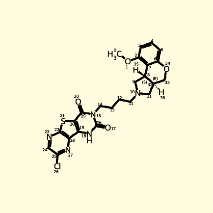 COc1cccc2c1[C@H]1CN(CCCCn3c(=O)[nH]c4c(sc5ncc(Cl)nc54)c3=O)C[C@@H]1CO2